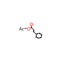 CC(=O)COC(=O)C=Cc1ccccc1